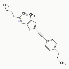 CCCC/C(C)=C/c1sc(C#Cc2ccc(CCC)cc2)cc1C